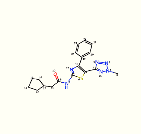 Cn1nnc(-c2sc(NC(=O)CC3CCCC3)nc2-c2ccccc2)n1